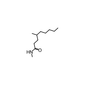 CCCCCC(C)CCC(=O)NC